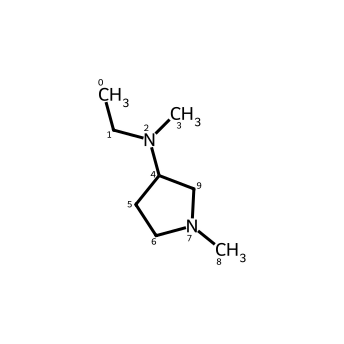 CCN(C)C1CCN(C)C1